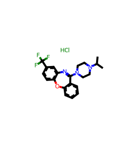 CC(C)N1CCN(C2=Nc3cc(C(F)(F)F)ccc3Oc3ccccc32)CC1.Cl